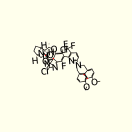 COc1ccc(CN(Cc2ccc(OC)cc2)c2ccc(C(F)(F)F)c(-c3c(Cl)c4c5c(nc(Cl)nc5c3F)N3C[C@H]5CC[C@@H]([C@H]3[C@H](C)O4)N5C(=O)OC(C)(C)C)n2)cc1